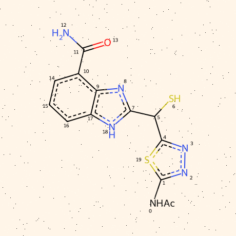 CC(=O)Nc1nnc(C(S)c2nc3c(C(N)=O)cccc3[nH]2)s1